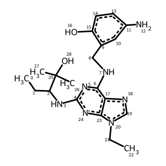 CCC(Nc1nc(NCc2cc(N)ccc2O)c2ncn(CC)c2n1)C(C)(C)O